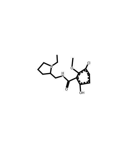 CCN1CCCC1CNC(=O)c1c(O)ccc(Cl)c1OC